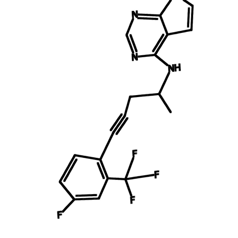 CC(CC#Cc1ccc(F)cc1C(F)(F)F)Nc1ncnc2sccc12